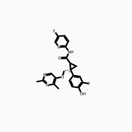 Cc1ncc(OC[C@@]2(c3ccc(O)c(F)c3)CC2C(=O)Nc2ccc(F)cn2)c(C)n1